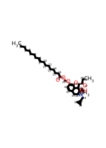 CCCCCCCC/C=C/CCCCCCCC(=O)OCOC1=C2O[C@@H](C(=O)CC)[C@]34CCN(CC5CC5)C(CC(C=C1)C23)[C@@]4(C)O